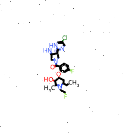 CCC1CC(Oc2cc(F)ccc2C(=O)N2CC(=N)/C(=C3/N=CC(Cl)=CN3)C2)C(O)C(C)N1CCF